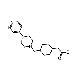 O=C(O)CC1CCC(CN2CCN(c3ccnnc3)CC2)CC1